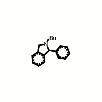 CCC(C)N1Cc2ccccc2C1c1ccccc1